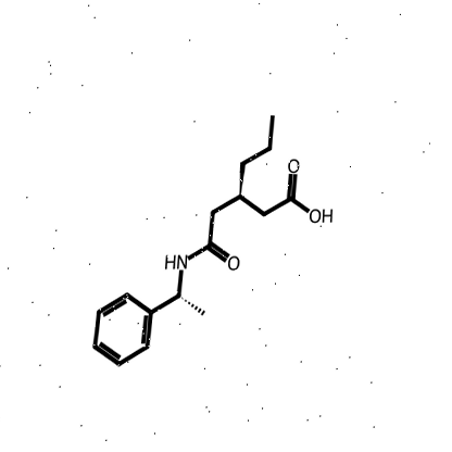 CCC[C@@H](CC(=O)O)CC(=O)N[C@H](C)c1ccccc1